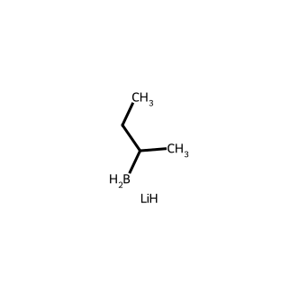 BC(C)CC.[LiH]